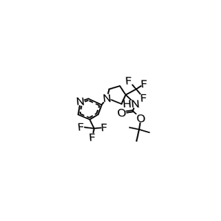 CC(C)(C)OC(=O)NC1(C(F)(F)F)CCN(c2cncc(C(F)(F)F)c2)C1